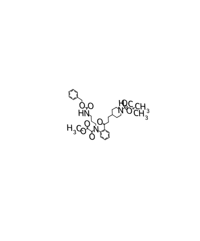 COC(=O)C(=O)N(CCCNC(=O)OCc1ccccc1)c1ccccc1C(=O)CCC1CCN(C(=O)OC(C)(C)C)CC1